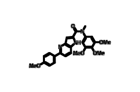 COc1ccc(-c2ccc3[nH]c(C(=O)N(C)c4cc(OC)c(OC)c(OC)c4)cc3n2)cc1